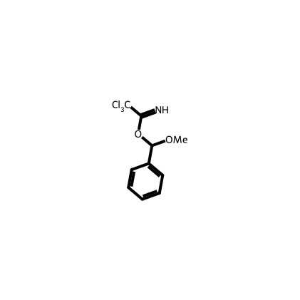 COC(OC(=N)C(Cl)(Cl)Cl)c1ccccc1